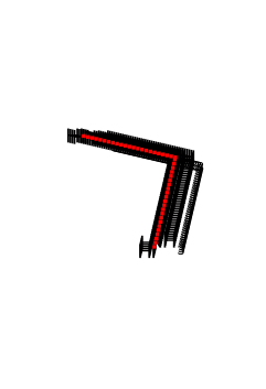 I.I.I.I.I.I.I.I.I.N.N.N.N.N.N.N.N.N.N.N.N.N.N.N.N.N.N.N.N.N.N.N.N.N.N.N.N.N.N.N.N.N.N.N.N.N.N.N.N.N.N.N.N.N.N.N.N.N.N.N.N.N.N.N.N.N.N.N.N.N.N.N.N.N.N.N.N.N.N.N.N.N.N.N.N.N.N.N.N.N.N